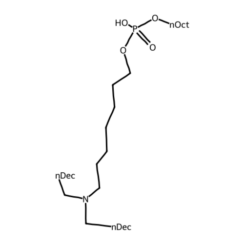 CCCCCCCCCCCN(CCCCCCCCCCC)CCCCCCCOP(=O)(O)OCCCCCCCC